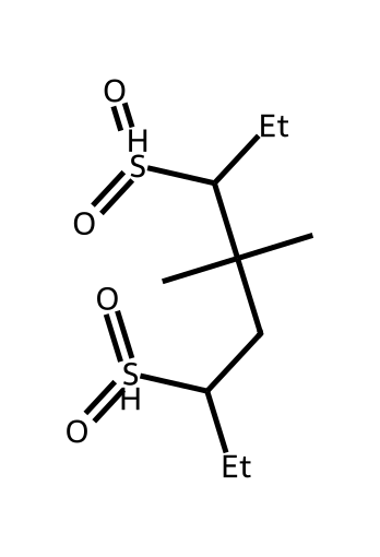 CCC(CC(C)(C)C(CC)[SH](=O)=O)[SH](=O)=O